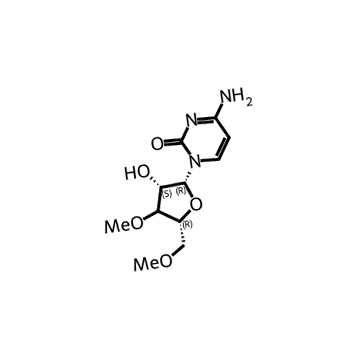 COC[C@H]1O[C@@H](n2ccc(N)nc2=O)[C@@H](O)C1OC